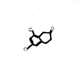 O=C1CCc2cc(Cl)cc(Cl)c2C1